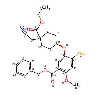 CCOC(=O)[C@]1(CC#N)CC[C@@H](Oc2cc(C(=O)OCc3ccccc3)c(OC)cc2P)CC1